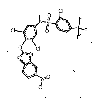 O=[N+]([O-])c1ccc2sc(Oc3c(Cl)cc(NS(=O)(=O)c4ccc(C(F)(F)F)cc4Cl)cc3Cl)nc2c1